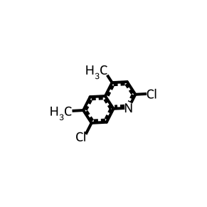 Cc1cc2c(C)cc(Cl)nc2cc1Cl